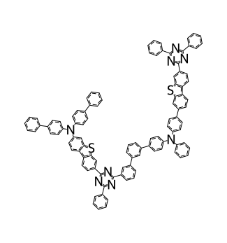 c1ccc(-c2ccc(N(c3ccc(-c4ccccc4)cc3)c3ccc4c(c3)sc3cc(-c5nc(-c6ccccc6)nc(-c6cccc(-c7cccc(-c8ccc(N(c9ccccc9)c9ccc(-c%10ccc%11c(c%10)sc%10cc(-c%12nc(-c%13ccccc%13)nc(-c%13ccccc%13)n%12)ccc%10%11)cc9)cc8)c7)c6)n5)ccc34)cc2)cc1